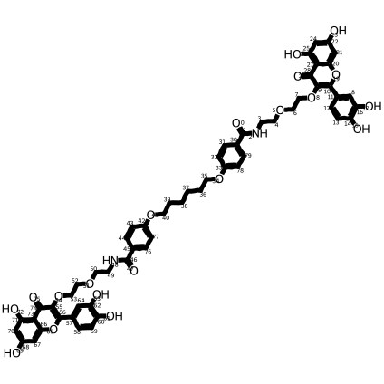 O=C(NCCOCCOc1c(-c2ccc(O)c(O)c2)oc2cc(O)cc(O)c2c1=O)c1ccc(OCCCCCCOc2ccc(C(=O)NCCOCCOc3c(-c4ccc(O)c(O)c4)oc4cc(O)cc(O)c4c3=O)cc2)cc1